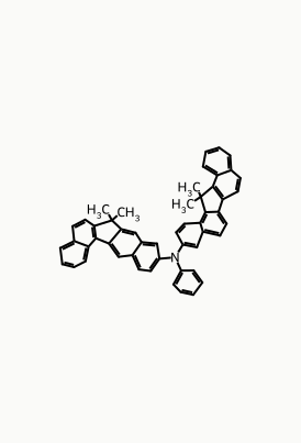 CC1(C)c2cc3cc(N(c4ccccc4)c4ccc5c6c(ccc5c4)-c4ccc5ccccc5c4C6(C)C)ccc3cc2-c2c1ccc1ccccc21